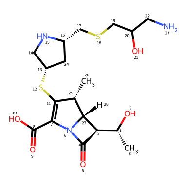 C[C@@H](O)[C@H]1C(=O)N2C(C(=O)O)=C(S[C@@H]3CN[C@H](CSCC(O)CN)C3)[C@H](C)[C@H]12